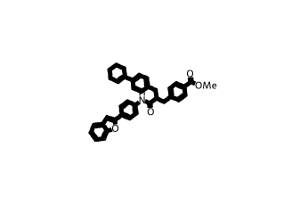 COC(=O)c1ccc(CC(Cc2ccc(C3=CCCCC3)cc2)C(=O)Nc2ccc(-c3cc4ccccc4o3)cc2)cc1